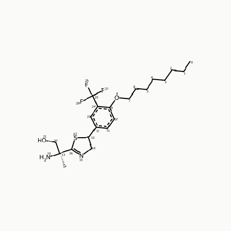 CCCCCCCCOc1ccc(C2CN=C([C@@](C)(N)CO)S2)cc1C(F)(F)F